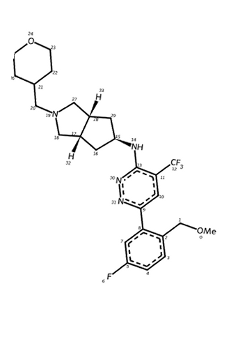 COCc1ccc(F)cc1-c1cc(C(F)(F)F)c(N[C@H]2C[C@@H]3CN(CC4CCOCC4)C[C@@H]3C2)nn1